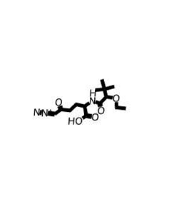 CCOC(C(=O)NC(CCC(=O)C=[N+]=[N-])C(=O)O)C(C)(C)C